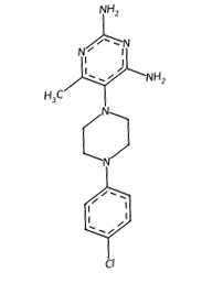 Cc1nc(N)nc(N)c1N1CCN(c2ccc(Cl)cc2)CC1